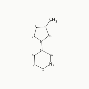 CC1CCC(C2CCC[N]C2)C1